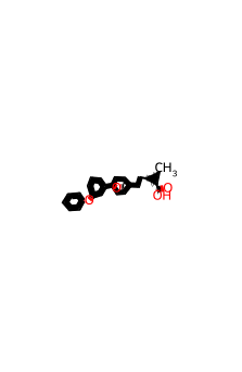 C[C@@H]1[C@H](CCC23CCC(c4cccc(Oc5ccccc5)c4)(CC2)OC3)[C@@H]1C(=O)O